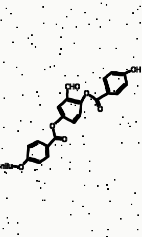 CCCCOc1ccc(C(=O)Oc2ccc(OC(=O)c3ccc(O)cc3)c(C=O)c2)cc1